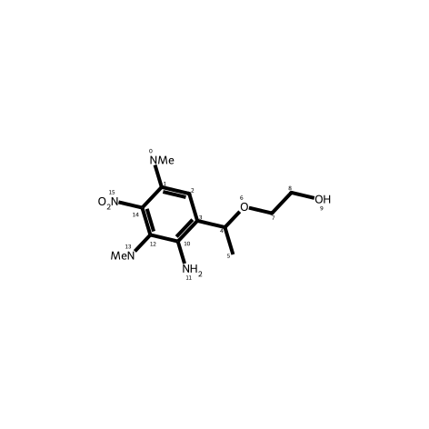 CNc1cc(C(C)OCCO)c(N)c(NC)c1[N+](=O)[O-]